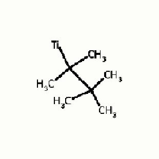 CC(C)(C)[C](C)(C)[Ti]